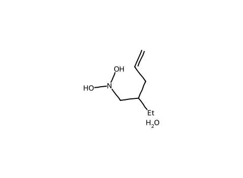 C=CCC(CC)CN(O)O.O